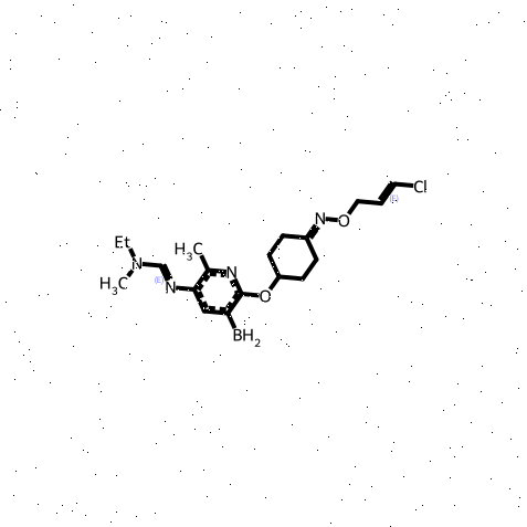 Bc1cc(/N=C/N(C)CC)c(C)nc1OC1CCC(=NOC/C=C/Cl)CC1